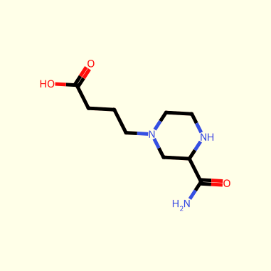 NC(=O)C1CN(CCCC(=O)O)CCN1